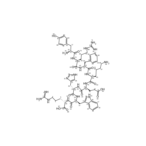 N=C(N)NCCC[C@H](NC(=O)[C@H](Cc1c[nH]c2ccccc12)NC(=O)[C@H](Cc1c[nH]cn1)NC(=O)[C@H](CCC(=O)O)NC(=O)[C@H](CCCCN)NC(=O)[C@H](Cc1ccccc1)NC(=O)[C@H](CCCNC(=N)N)NC(=O)[C@@H](N)Cc1ccc(O)cc1)C(=O)O